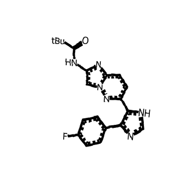 CC(C)(C)C(=O)Nc1cn2nc(-c3[nH]cnc3-c3ccc(F)cc3)ccc2n1